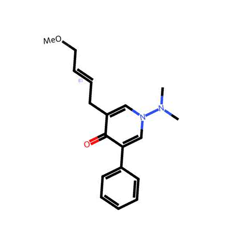 COC/C=C/Cc1cn(N(C)C)cc(-c2ccccc2)c1=O